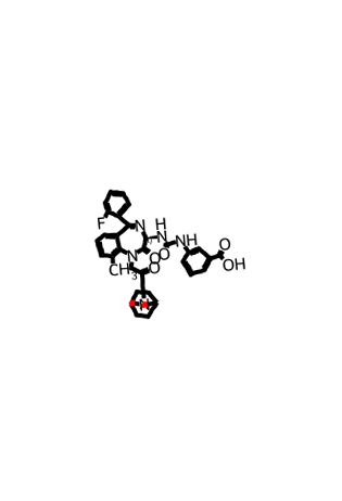 Cc1cccc2c1N(CC(=O)N1CC3CCC(CC3)C1)C(=O)[C@H](NC(=O)Nc1cccc(C(=O)O)c1)N=C2c1ccccc1F